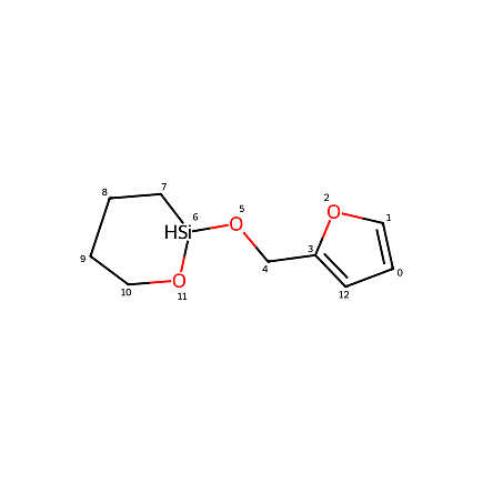 c1coc(CO[SiH]2CCCCO2)c1